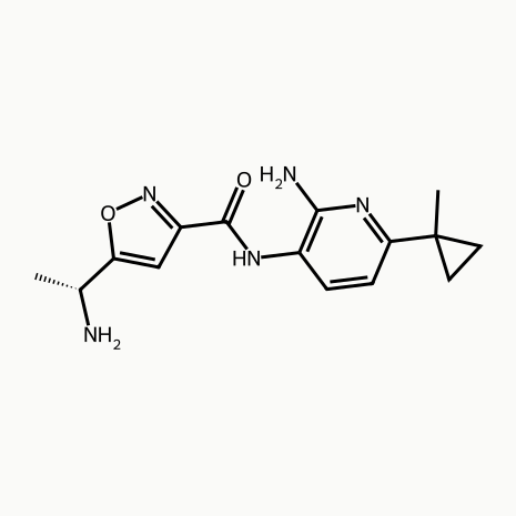 C[C@@H](N)c1cc(C(=O)Nc2ccc(C3(C)CC3)nc2N)no1